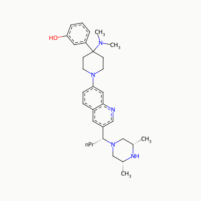 CCC[C@H](c1cnc2cc(N3CCC(c4cccc(O)c4)(N(C)C)CC3)ccc2c1)N1C[C@@H](C)N[C@@H](C)C1